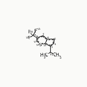 CC(C)c1ccc2cc(C(F)(F)F)csc1-2